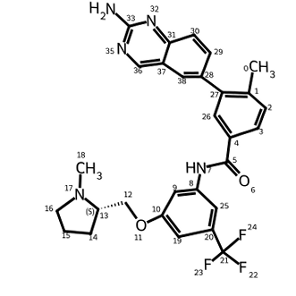 Cc1ccc(C(=O)Nc2cc(OC[C@@H]3CCCN3C)cc(C(F)(F)F)c2)cc1-c1ccc2nc(N)ncc2c1